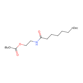 CCCCCCCCCCCCCCCC(=O)NCCOC(=O)OCC(C)C